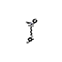 Cc1cc(Br)ccc1OCCCCCCN/C(=N\C#N)Nc1ccncc1